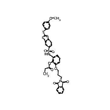 CCC(=O)Oc1c(NS(=O)(=O)c2ccc3nc(Sc4ccc(OC)cc4)sc3c2)cccc1OCCCN1C(=O)c2ccccc2C1=O